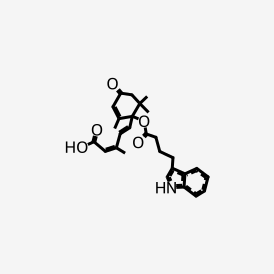 CC1=CC(=O)CC(C)(C)C1(C=C/C(C)=C\C(=O)O)OC(=O)CCCc1c[nH]c2ccccc12